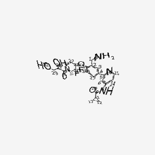 NCc1cc(-c2cc(NC(=O)C3CC3)ccn2)ccc1O[C@H]1CCN(C(=O)[C@@H](O)CO)CC1(F)F